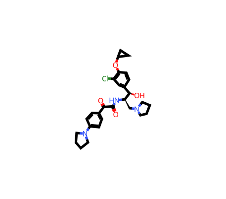 O=C(N[C@H](CN1CCCC1)[C@H](O)c1ccc(OC2CC2)c(Cl)c1)C(=O)c1ccc(N2CCCC2)cc1